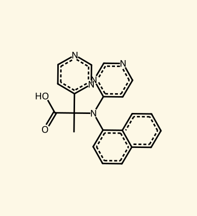 CC(C(=O)O)(c1ccncn1)N(c1ccncn1)c1cccc2ccccc12